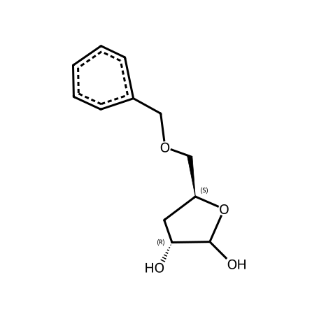 OC1O[C@H](COCc2ccccc2)C[C@H]1O